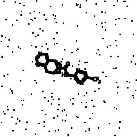 O=C(Nc1cnc(C(F)(F)F)cn1)N1C2CCC1c1cncnc1C2